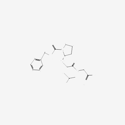 CC(C)C[C@H](N[C@@H]1CCCN1C(=O)OCc1ccccc1)C(=O)NCC(=O)O